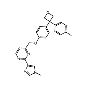 Cc1ccc(C2(c3ccc(OCc4ccnc(-c5cn(C)cn5)n4)cc3)COC2)cc1